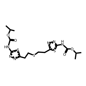 CC(C)OC(=O)Nc1nnc(CCSCCc2nnc(NC(=O)OC(C)C)s2)s1